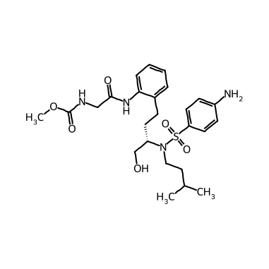 COC(=O)NCC(=O)Nc1ccccc1CC[C@@H](CO)N(CCC(C)C)S(=O)(=O)c1ccc(N)cc1